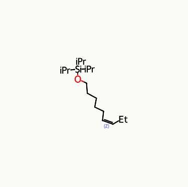 CC/C=C\CCCCCO[Si](C(C)C)(C(C)C)C(C)C